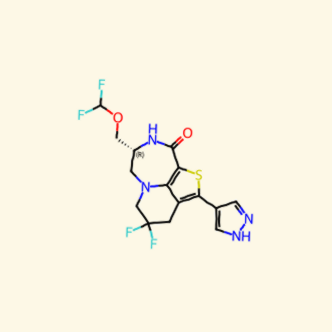 O=C1N[C@@H](COC(F)F)CN2CC(F)(F)Cc3c(-c4cn[nH]c4)sc1c32